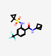 CC1(S(=O)(=O)Nc2cc(C(F)(F)F)ccc2C(=O)NC23CC(C2)C3)CC1